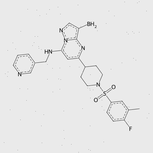 Bc1cnn2c(NCc3cccnc3)cc(C3CCN(S(=O)(=O)c4ccc(F)c(C)c4)CC3)nc12